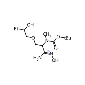 CCC(O)COCC(/C(N)=N/O)N(C)C(=O)OC(C)(C)C